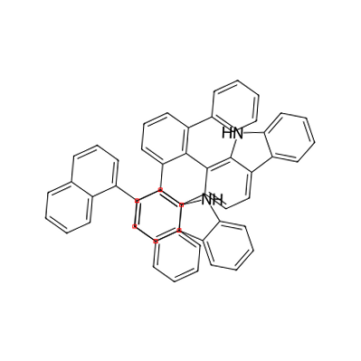 c1ccc(-c2cccc(-c3c(-c4cccc5ccccc45)ccc4c3[nH]c3ccccc34)c2-c2c(-c3cccc4ccccc34)ccc3c2[nH]c2ccccc23)cc1